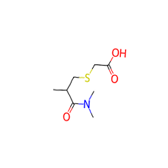 CC(CSCC(=O)O)C(=O)N(C)C